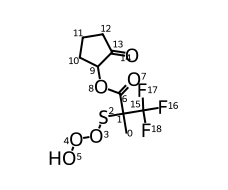 CC(SOOO)(C(=O)OC1CCCC1=O)C(F)(F)F